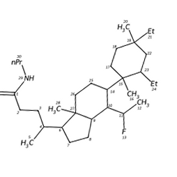 C=C(CCC(C)C1CCC2C(C(C)F)C(C3(C)CCC(C)(CC)CC3CC)CCC12C)NCCC